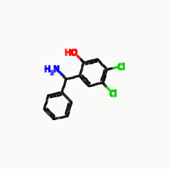 NC(c1ccccc1)c1cc(Cl)c(Cl)cc1O